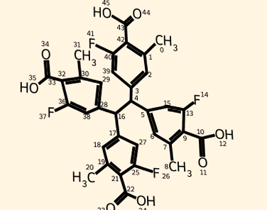 Cc1cc(C(c2cc(C)c(C(=O)O)c(F)c2)C(c2cc(C)c(C(=O)O)c(F)c2)c2cc(C)c(C(=O)O)c(F)c2)cc(F)c1C(=O)O